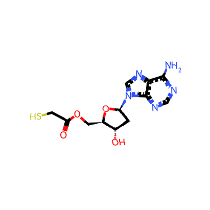 Nc1ncnc2c1ncn2[C@H]1C[C@H](O)[C@@H](COC(=O)CS)O1